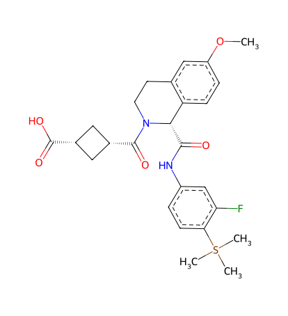 COc1ccc2c(c1)CCN(C(=O)[C@H]1C[C@@H](C(=O)O)C1)[C@H]2C(=O)Nc1ccc(S(C)(C)C)c(F)c1